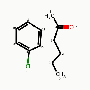 CCCCC(C)=O.Clc1ccccc1